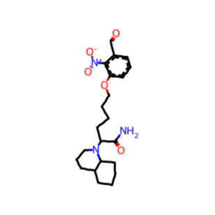 NC(=O)C(CCCCOc1cccc(C=O)c1[N+](=O)[O-])N1CCCC2CCCCC21